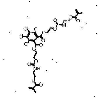 C=C(C)C(=O)OCCNC(=O)OCCOC(=O)c1c(Cl)c(Cl)c(Cl)c(Cl)c1C(=O)OCCOC(=O)NCCOC(=O)C(=C)C